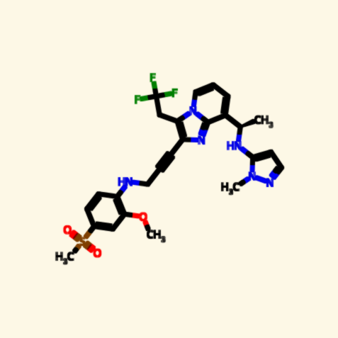 COc1cc(S(C)(=O)=O)ccc1NCC#Cc1nc2c([C@@H](C)Nc3ccnn3C)cccn2c1CC(F)(F)F